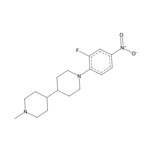 CN1CCC(C2CCN(c3ccc([N+](=O)[O-])cc3F)CC2)CC1